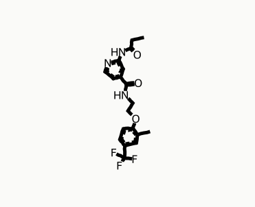 CCC(=O)Nc1cc(C(=O)NCCOc2ccc(C(F)(F)F)cc2C)ccn1